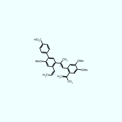 C=C(C)c1cc(OC)c(OC)cc1/C=C(\C)c1cc(-c2ccc(C(=O)O)cc2)c(OC)cc1/C=C\C